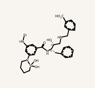 CCNc1cc(C(=O)N[C@@H](Cc2ccccc2)[C@H](O)CNCc2cccc(C(=O)O)c2)cc(N2CCCCS2(O)O)c1